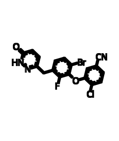 N#Cc1ccc(Cl)c(Oc2c(Br)ccc(Cc3ccc(=O)[nH]n3)c2F)c1